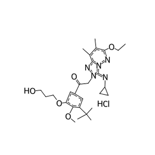 CCOc1nn2c(=NC3CC3)n(CC(=O)c3cc(OCCCO)c(OC)c(C(C)(C)C)c3)nc2c(C)c1C.Cl